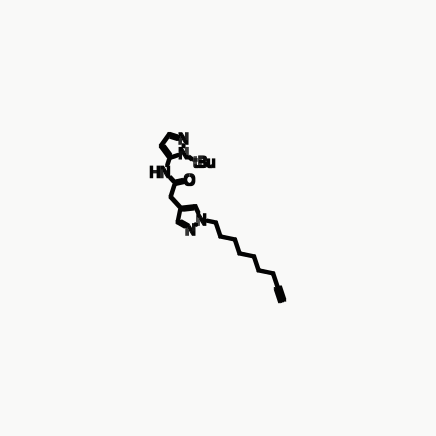 C#CCCCCCCCn1cc(CC(=O)Nc2ccnn2C(C)(C)C)cn1